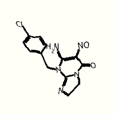 NC1=C(N=O)C(=O)N2CCN=C2N1Cc1ccc(Cl)cc1